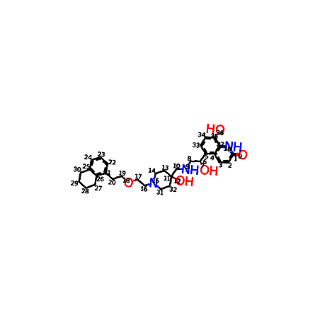 O=c1ccc2c([C@@H](O)CNCC3(O)CCN(CCOCCc4cccc5c4CCCC5)CC3)ccc(O)c2[nH]1